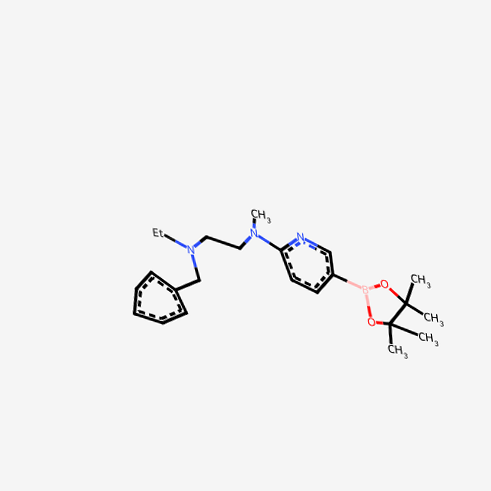 CCN(CCN(C)c1ccc(B2OC(C)(C)C(C)(C)O2)cn1)Cc1ccccc1